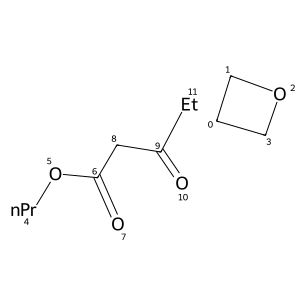 C1COC1.CCCOC(=O)CC(=O)CC